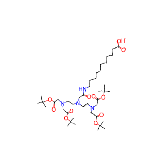 CC(C)(C)OC(=O)CN(CCN(CCN(CC(=O)OC(C)(C)C)CC(=O)OC(C)(C)C)CC(=O)NCCCCCCCCCCC(=O)O)CC(=O)OC(C)(C)C